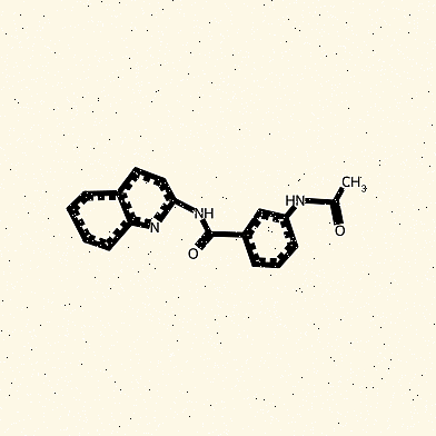 CC(=O)Nc1cccc(C(=O)Nc2ccc3ccccc3n2)c1